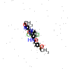 CC[S+]([O-])c1ccc(CC(=O)Nc2cc(Cl)c(C3(c4noc(-c5ccc(OC)nc5)n4)CC3)c(Cl)c2)cc1